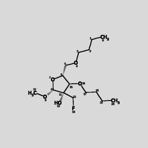 CCCCOC[C@H]1O[C@@H](OC)[C@](O)(CF)C1OCCCC